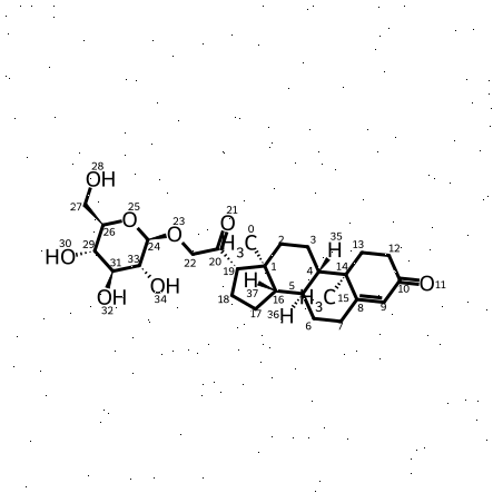 C[C@]12CC[C@H]3[C@@H](CCC4=CC(=O)CC[C@@]43C)[C@@H]1CC[C@@H]2C(=O)CO[C@@H]1O[C@H](CO)[C@@H](O)[C@H](O)[C@H]1O